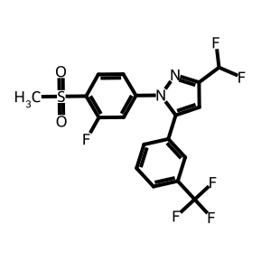 CS(=O)(=O)c1ccc(-n2nc(C(F)F)cc2-c2cccc(C(F)(F)F)c2)cc1F